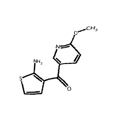 COc1ccc(C(=O)c2ccsc2N)cn1